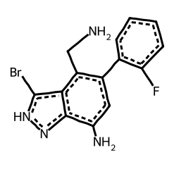 NCc1c(-c2ccccc2F)cc(N)c2n[nH]c(Br)c12